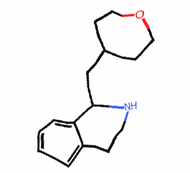 c1ccc2c(c1)CCNC2CC1CCOCC1